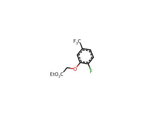 CCOC(=O)COc1cc(C(F)(F)F)ccc1F